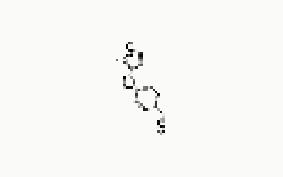 S=Cc1ccc(Oc2[c]scc2)cc1